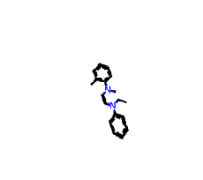 CCN(/C=C\N(C)c1ccccc1C)c1ccccc1